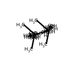 CCCCCCCCCCCCCCCCCC(=O)N(CC(=O)NCCCOCCOCCNC(=O)CN(C(=O)CCCCCCCCCCCCCCCCC)[C@@H](CO[C@H]1OC(CO)[C@H](O)[C@H](O)C1O)[C@H](O)[C@H](O)CCCCCCCCCCCCCC)[C@@H](CO[C@H]1OC(CO)[C@H](O)[C@H](O)C1O)[C@H](O)[C@H](O)CCCCCCCCCCCCCC